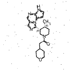 C[C@@H]1CCN(C(=O)CC2CCOCC2)C[C@@H]1c1ncc2cnc3[nH]ccc3n12